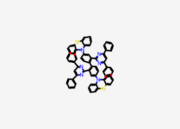 c1ccc(-c2cc(-c3ccccc3)nc(-c3cc(N4c5ccccc5Sc5ccccc54)ccc3-c3ccc(N4c5ccccc5Sc5ccccc54)cc3-c3nc(-c4ccccc4)cc(-c4ccccc4)n3)n2)cc1